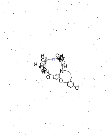 CC(C)[C@]1(O)/C=C/C[C@H](C)[C@@H](C)S(=O)(=O)NC(=O)c2ccc3c(c2)N(CCCCc2cc(Cl)ccc2CO3)C[C@@H]2CC[C@H]21